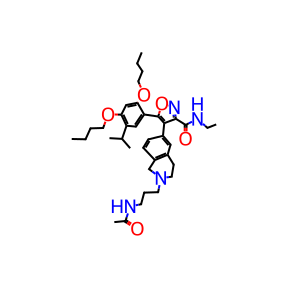 CCCCOc1cc(OCCCC)c(C(C)C)cc1-c1onc(C(=O)NCC)c1-c1ccc2c(c1)CCN(CCCNC(C)=O)C2